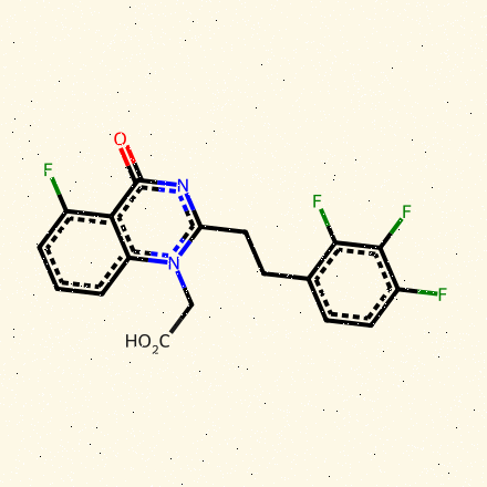 O=C(O)Cn1c(CCc2ccc(F)c(F)c2F)nc(=O)c2c(F)cccc21